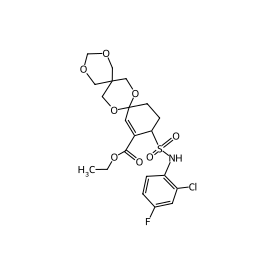 CCOC(=O)C1=CC2(CCC1S(=O)(=O)Nc1ccc(F)cc1Cl)OCC1(COCOC1)CO2